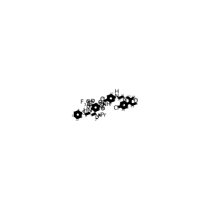 CC(C)N(C)CC[C@H](CSc1ccccc1)Nc1ccc(S(=O)(=O)NC(=O)c2ccc(NCCNCC3=C(c4ccc(Cl)cc4)CCOC3)cc2)cc1S(=O)(=O)C(F)(F)F